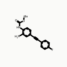 CC(C)(C)OC(=O)Nc1ccc(C#Cc2ccc(F)cc2)cc1N